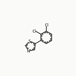 Clc1cccc(-c2cn[c]s2)c1Cl